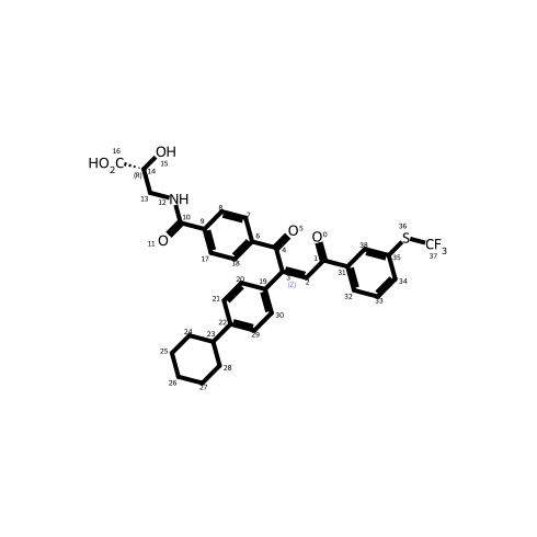 O=C(/C=C(\C(=O)c1ccc(C(=O)NC[C@@H](O)C(=O)O)cc1)c1ccc(C2CCCCC2)cc1)c1cccc(SC(F)(F)F)c1